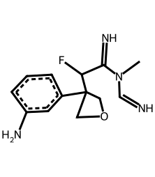 CN(C=N)C(=N)C(F)C1(c2cccc(N)c2)COC1